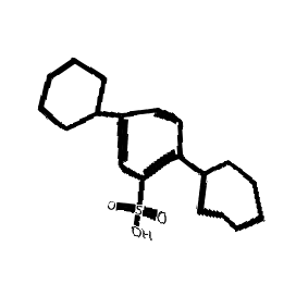 O=S(=O)(O)c1cc(C2CCCCC2)ccc1C1CCCCC1